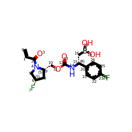 C=CC(=O)N1C[C@@H](F)C[C@H]1COC(=O)N[C@H](CB(O)O)c1ccc(F)cc1